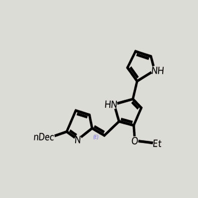 CCCCCCCCCCC1=N/C(=C/c2[nH]c(-c3ccc[nH]3)cc2OCC)C=C1